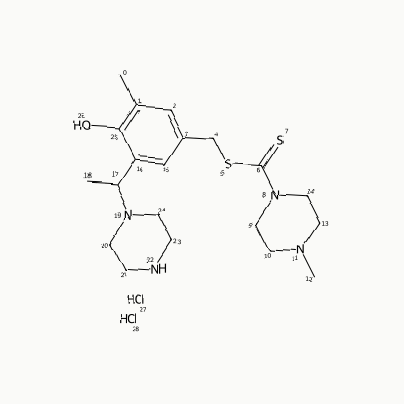 Cc1cc(CSC(=S)N2CCN(C)CC2)cc(C(C)N2CCNCC2)c1O.Cl.Cl